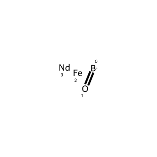 [B]=O.[Fe].[Nd]